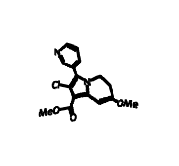 COC(=O)c1c(Cl)c(-c2cccnc2)n2c1C=C(OC)CC2